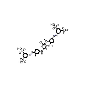 COc1cc(/N=N/c2cc(S(=O)(=O)O)cc(S(=O)(=O)O)c2)ccc1Nc1nc(Cl)nc(Nc2ccc(/N=N/c3cc(S(=O)(=O)O)cc(S(=O)(=O)O)c3)c(C)c2)n1